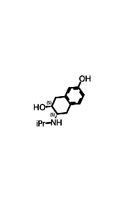 CC(C)N[C@H]1Cc2ccc(O)cc2C[C@@H]1O